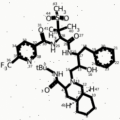 CC(C)(C)NC(=O)C1C[C@@H]2CCCC[C@@H]2CN1CC(O)C(Cc1ccccc1)NC(=O)[C@@H](NC(=O)c1ccc(C(F)(F)F)nc1)C(C)(C)S(C)(=O)=O